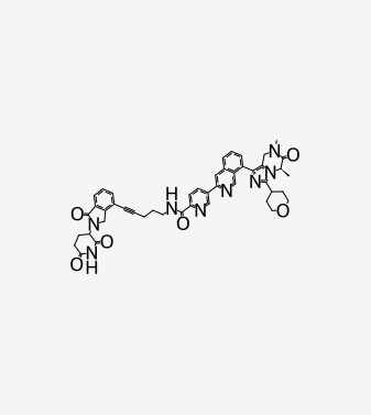 C[C@@H]1C(=O)N(C)Cc2c(-c3cccc4cc(-c5ccc(C(=O)NCCCC#Cc6cccc7c6CN(C6CCC(=O)NC6=O)C7=O)nc5)ncc34)nc(C3CCOCC3)n21